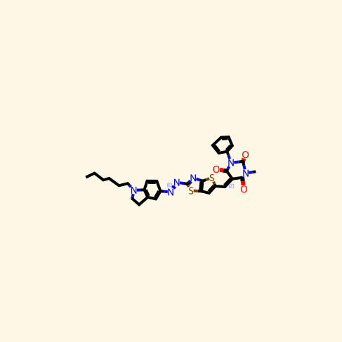 CCCCCCN1CCc2cc(/N=N/c3nc4sc(/C=C5/C(=O)N(C)C(=O)N(c6ccccc6)C5=O)cc4s3)ccc21